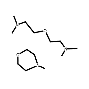 CN(C)CCOCCN(C)C.CN1CCOCC1